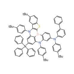 CC(C)(C)c1ccc(N(c2cccc(-c3ccccc3)c2)c2ccc3c(c2)N(c2ccc(C(C)(C)C)cc2)c2cc([Si](c4ccccc4)(c4ccccc4)c4ccccc4)cc4c2B3c2sc3ccc(C(C)(C)C)cc3c2N4c2ccc(C(C)(C)C)cc2)cc1